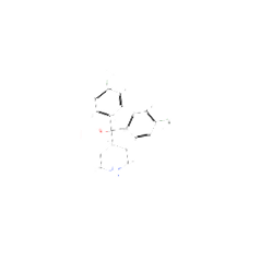 OC(c1ccc(Cl)cc1)(c1ccc(Cl)cc1)C1CCNCC1